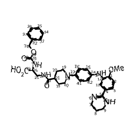 COc1ccc(C2=NCCCN2)cc1Nc1ccc(N2CCC(C(=O)NC[C@H](NC(=O)OCc3ccccc3)C(=O)O)CC2)cc1